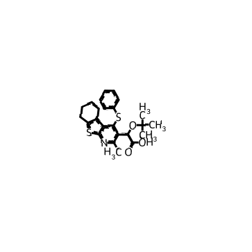 Cc1nc2sc3c(c2c(Sc2ccccc2)c1C(OC(C)(C)C)C(=O)O)CCCC3